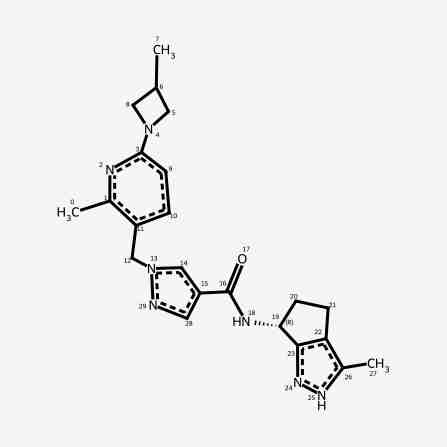 Cc1nc(N2CC(C)C2)ccc1Cn1cc(C(=O)N[C@@H]2CCc3c2n[nH]c3C)cn1